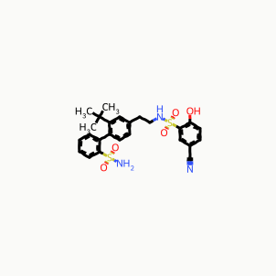 CC(C)(C)c1cc(CCNS(=O)(=O)c2cc(C#N)ccc2O)ccc1-c1ccccc1S(N)(=O)=O